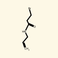 C=CCNC(=O)CCBr